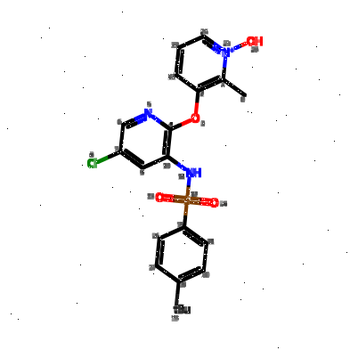 Cc1c(Oc2ncc(Cl)cc2NS(=O)(=O)c2ccc(C(C)(C)C)cc2)ccc[n+]1O